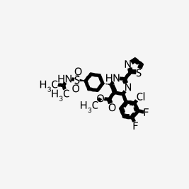 COC(=O)C1=C([C@H]2CC[C@H](S(=O)(=O)NC(C)C)CC2)NC(c2nccs2)=NC1c1ccc(F)c(F)c1Cl